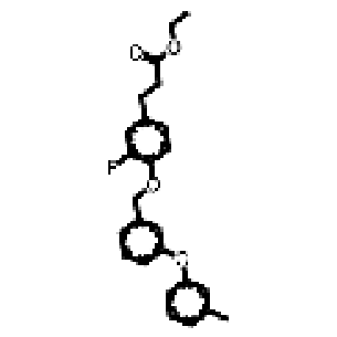 CCOC(=O)CCc1ccc(OCc2cccc(Oc3cccc(C)c3)c2)c(F)c1